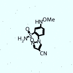 CONc1ccc(-n2cc(C#N)cn2)c(S(N)(=O)=O)c1